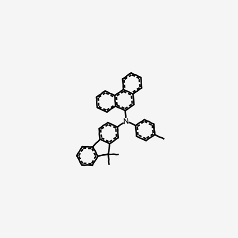 Cc1ccc(N(c2ccc3c(c2)C(C)(C)c2ccccc2-3)c2cc3ccccc3c3ccccc23)cc1